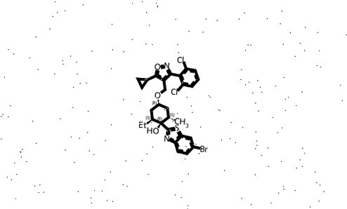 CC[C@H]1C[C@H](OCc2c(-c3c(Cl)cccc3Cl)noc2C2CC2)C[C@H](C)[C@]1(O)c1nc2ccc(Br)cc2s1